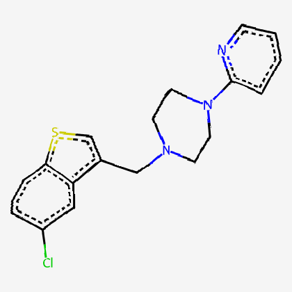 Clc1ccc2scc(CN3CCN(c4ccccn4)CC3)c2c1